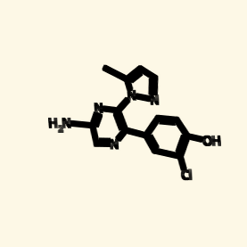 Cc1ccnn1-c1nc(N)cnc1-c1ccc(O)c(Cl)c1